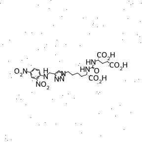 O=C(O)CC[C@H](NC(=O)N[C@@H](CCCCn1cc(CNc2ccc([N+](=O)[O-])cc2[N+](=O)[O-])nn1)C(=O)O)C(=O)O